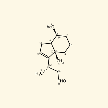 CC(=O)O[C@H]1CCC[C@]2(C)C([C@@H](C)CC=O)=CCC12